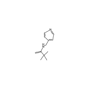 C=C(NCc1ccncc1)C(C)(C)C